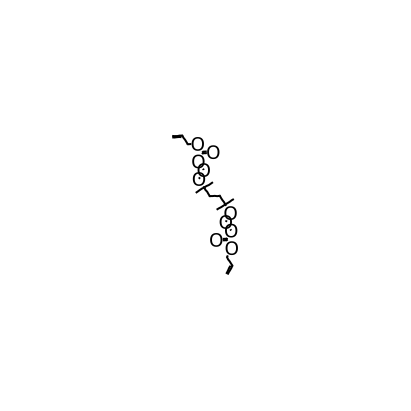 C=CCOC(=O)OOOC(C)(C)CCC(C)(C)OOOC(=O)OCC=C